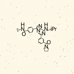 CC(C)CNc1nc(-c2cccc(C(=O)N3CCCC3)c2)cn2c(-c3ccc(C(=O)NC4CC4)cc3)cnc12